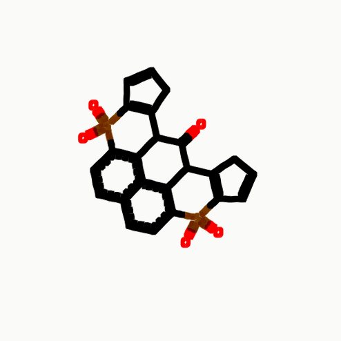 O=C1C2C3=C(C=CC3)S(=O)(=O)c3ccc4ccc5c(c4c32)C1C1=C(C=CC1)S5(=O)=O